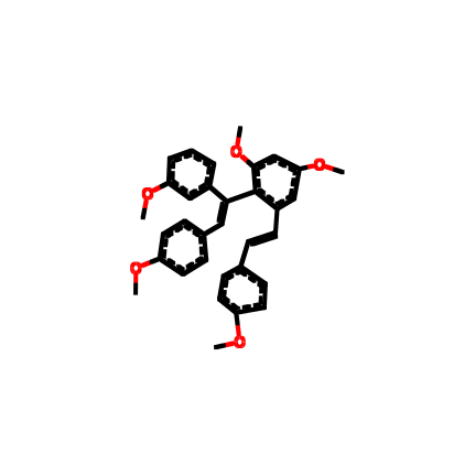 COc1ccc(/C=C/c2cc(OC)cc(OC)c2/C(=C/c2ccc(OC)cc2)c2cccc(OC)c2)cc1